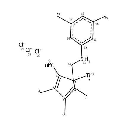 CCCC1=C(C)C(C)=C(C)[C]1([Ti+3])C[SiH2]c1cc(C)cc(C)c1.[Cl-].[Cl-].[Cl-]